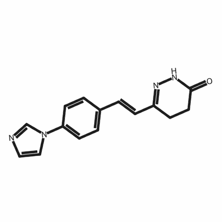 O=C1CCC(C=Cc2ccc(-n3ccnc3)cc2)=NN1